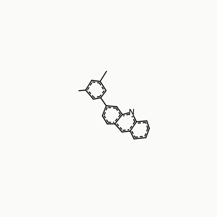 Cc1cc(C)cc(-c2ccc3cc4ccccc4nc3c2)c1